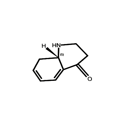 O=C1CCN[C@H]2CC=CC=C12